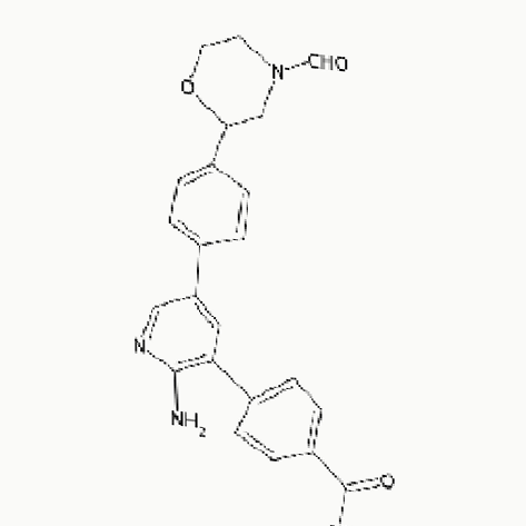 NC(=O)c1ccc(-c2cc(-c3ccc(C4CN(C=O)CCO4)cc3)cnc2N)cc1